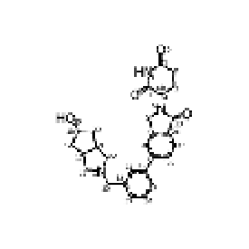 O=C1CC[C@H](N2Cc3cc(-c4cc(CN5CC6CC(O)CC6C5)ccn4)ccc3C2=O)C(=O)N1